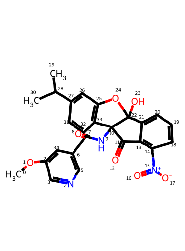 COc1cncc(C(=O)NC23C(=O)c4c([N+](=O)[O-])cccc4C2(O)Oc2cc(C(C)C)ccc23)c1